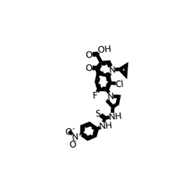 O=C(O)c1cn(C2CC2)c2c(Cl)c(N3CCC(NC(=S)Nc4ccc([N+](=O)[O-])cc4)C3)c(F)cc2c1=O